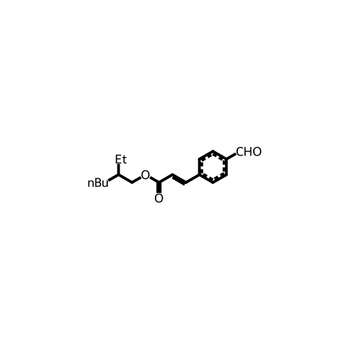 CCCCC(CC)COC(=O)/C=C/c1ccc(C=O)cc1